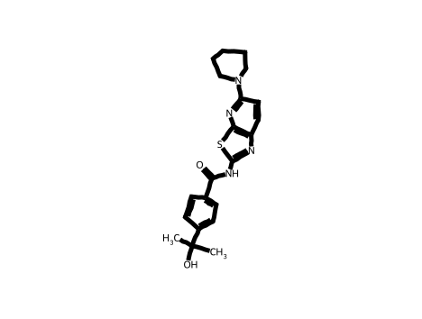 CC(C)(O)c1ccc(C(=O)Nc2nc3ccc(N4CCCCC4)nc3s2)cc1